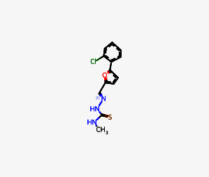 CNC(=S)N/N=C/c1ccc(-c2ccccc2Cl)o1